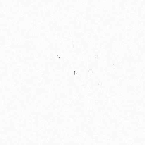 Cc1c(N(C(=O)OC(C)(C)C)C(=O)OC(C)(C)C)ncc(N=C(c2ccccc2)c2ccccc2)c1F